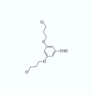 O=Cc1cc(OCCCCl)cc(OCCCCl)c1